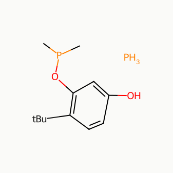 CP(C)Oc1cc(O)ccc1C(C)(C)C.P